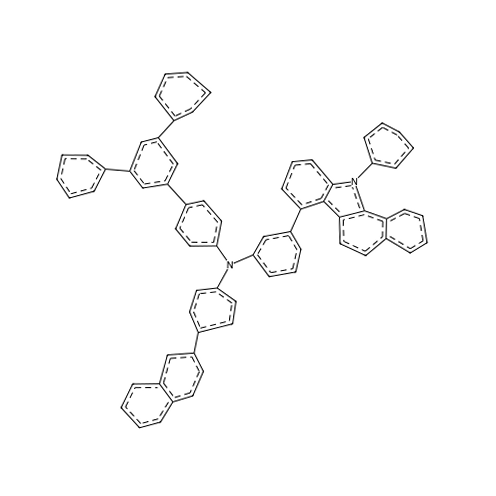 c1ccc(-c2cc(-c3ccccc3)cc(-c3ccc(N(c4ccc(-c5ccc6ccccc6c5)cc4)c4cccc(-c5cccc6c5c5ccc7ccccc7c5n6-c5ccccc5)c4)cc3)c2)cc1